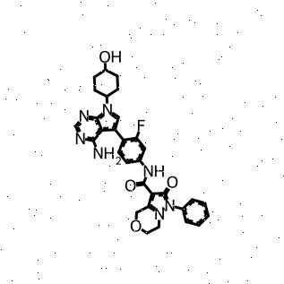 Nc1ncnc2c1c(-c1ccc(NC(=O)c3c4n(n(-c5ccccc5)c3=O)CCOC4)cc1F)cn2C1CCC(O)CC1